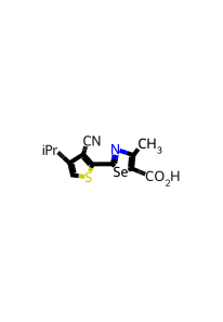 Cc1nc(-c2scc(C(C)C)c2C#N)[se]c1C(=O)O